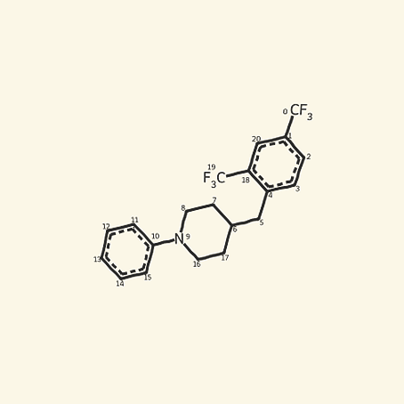 FC(F)(F)c1ccc(CC2CCN(c3[c]cccc3)CC2)c(C(F)(F)F)c1